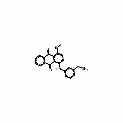 CNc1ccc(Nc2cccc(CN)c2)c2c1C(=O)c1ccccc1C2=O